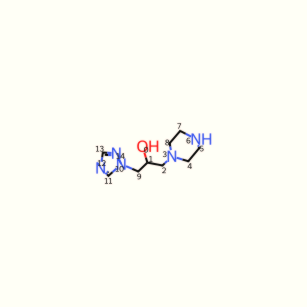 OC(CN1CCNCC1)Cn1cncn1